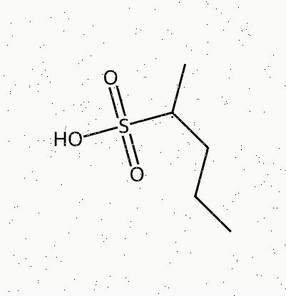 CCC[C](C)S(=O)(=O)O